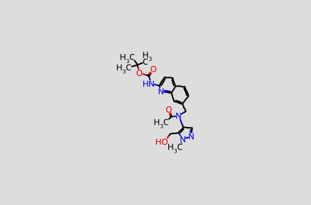 CC(=O)N(Cc1ccc2ccc(NC(=O)OC(C)(C)C)nc2c1)c1cnn(C)c1CO